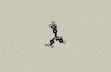 O=C1CN(c2ccc(C=Cc3nc(-c4ccc(Cl)cc4Cl)cn3Cc3ccc(C(=O)O)cc3)cc2)S(=O)(=O)N1